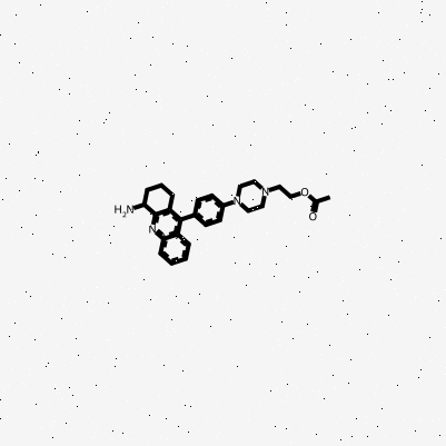 CC(=O)OCCN1CCN(c2ccc(-c3c4c(nc5ccccc35)C(N)CCC4)cc2)CC1